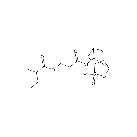 CCC(C)C(=O)OCCC(=O)OC1C2CC3C1OS(=O)(=O)C3C2